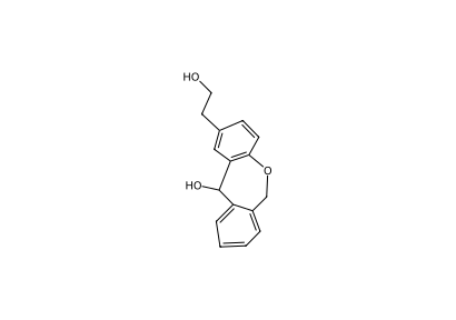 OCCc1ccc2c(c1)C(O)c1ccccc1CO2